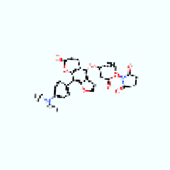 CC(CC(=O)ON1C(=O)CCC1=O)Oc1c2ccoc2c(-c2ccc(N(C)C)cc2)c2oc(=O)ccc12